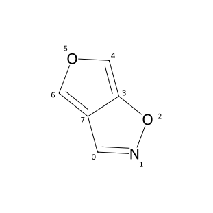 c1noc2cocc12